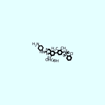 CCc1cc(-c2ccc(NS(=O)(=O)c3ccccc3Cl)c(C)c2C)cc2cnc(NC3CCC(N)CC3)nc12.O=CO